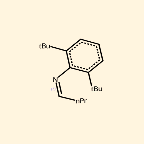 CCC/C=N\c1c(C(C)(C)C)cccc1C(C)(C)C